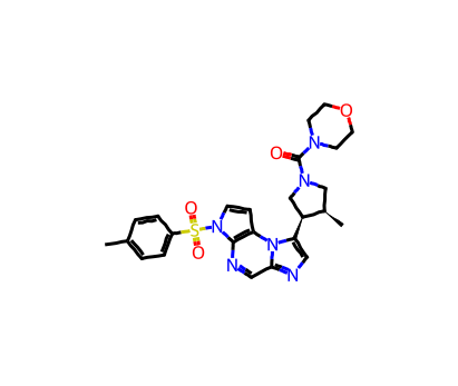 Cc1ccc(S(=O)(=O)n2ccc3c2ncc2ncc([C@H]4CN(C(=O)N5CCOCC5)C[C@H]4C)n23)cc1